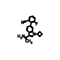 C[C@@H](N)c1cn(C2CCC2)c2cc(-c3c(F)cccc3C#N)ccc12